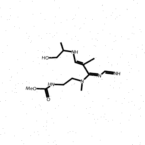 COC(=O)NCCN(C)C(=N/C=N)/C(C)=C/NC(C)CO